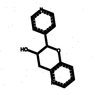 OC1Cc2ncccc2OC1c1ccncc1